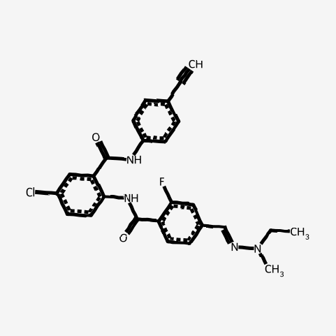 C#Cc1ccc(NC(=O)c2cc(Cl)ccc2NC(=O)c2ccc(C=NN(C)CC)cc2F)cc1